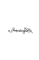 CC(=O)CCOCCOCCC(=O)NCC(C)C